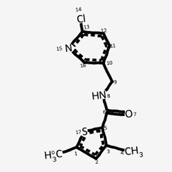 Cc1cc(C)c(C(=O)NCc2ccc(Cl)nc2)s1